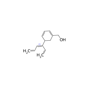 C=C/C=C(\C=C)C1C=CC=C(CO)C1